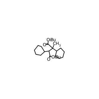 CC(C)COC(=O)C(C1CCCCC1)C(C)(C(=O)OCC(C)C)C1CCCCC1